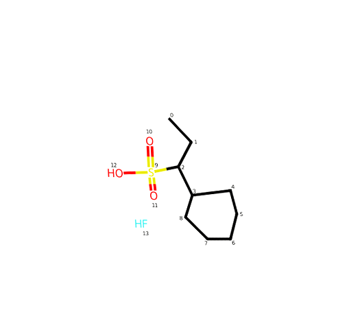 CCC(C1CCCCC1)S(=O)(=O)O.F